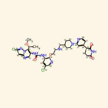 CO[C@@H](C)c1c(NC(=O)Nc2cc(Cl)cnc2OCCNCC2CCN(c3cc(C4CCC(=O)NC4=O)ccn3)CC2)cnc2cc(Cl)nn12